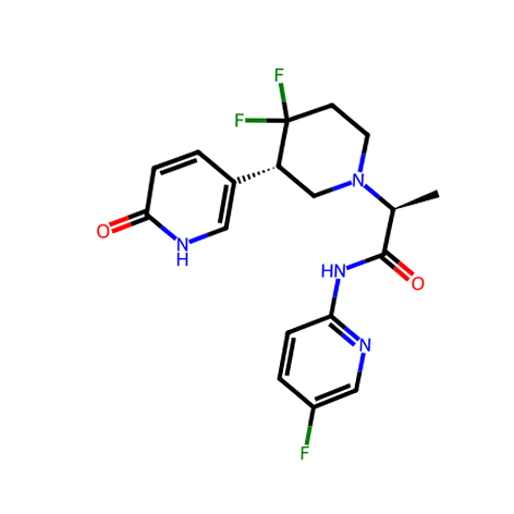 C[C@@H](C(=O)Nc1ccc(F)cn1)N1CCC(F)(F)[C@@H](c2ccc(=O)[nH]c2)C1